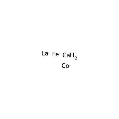 [CaH2].[Co].[Fe].[La]